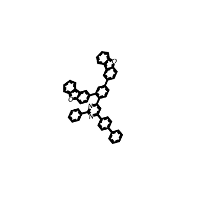 c1ccc(-c2ccc(-c3cc(-c4ccc(-c5ccc6oc7ccccc7c6c5)cc4-c4ccc5oc6ccccc6c5c4)nc(-c4ccccc4)n3)cc2)cc1